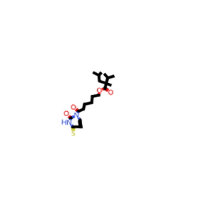 CC(C)CC(C)(C(=O)OCCCCCC(=O)n1ccc(=S)[nH]c1=O)C(C)C